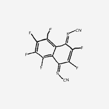 N#C/N=C1C(F)=C(F)/C(=N\C#N)c2c(F)c(F)c(F)c(F)c2\1